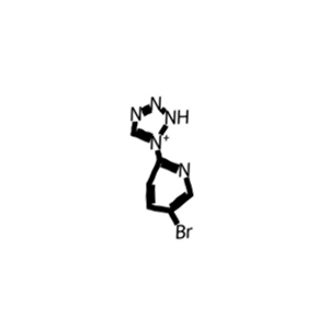 Brc1ccc(-[n+]2cnn[nH]2)nc1